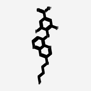 O=[N+]([O-])c1cc(F)c(Oc2ccnc3cc(OCCCF)cnc23)c(F)c1